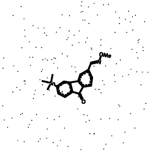 CON=Cc1ccc2c(c1)-c1c[c]([Sn]([CH3])([CH3])[CH3])ccc1C2=O